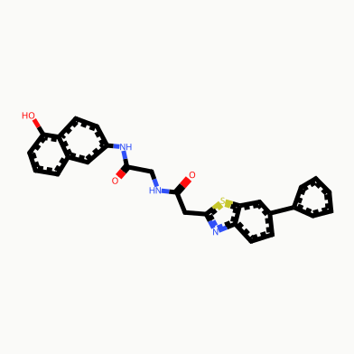 O=C(Cc1nc2ccc(-c3ccccc3)cc2s1)NCC(=O)Nc1ccc2c(O)cccc2c1